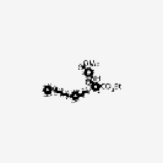 CCOC(=O)c1ccc(OCCCc2ccc(OCCCCOc3ccccc3)cc2)c(C(=O)N[C@H]2CC[C@@H](C(=O)OC)CC2)c1